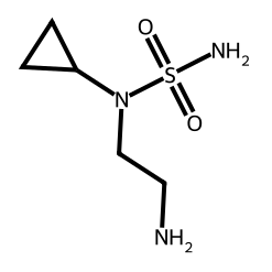 NCCN(C1CC1)S(N)(=O)=O